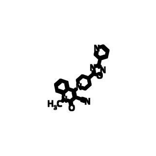 Cn1c(=O)c(C#N)c(N2CCC(c3nc(-c4cccnc4)no3)CC2)c2ccccc21